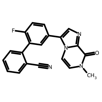 Cn1ccn2c(-c3ccc(F)c(-c4ccccc4C#N)c3)cnc2c1=O